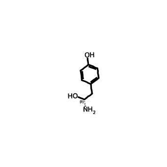 N[C@H](O)Cc1ccc(O)cc1